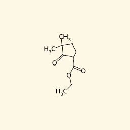 CCOC(=O)C1CCC(C)(C)C1=O